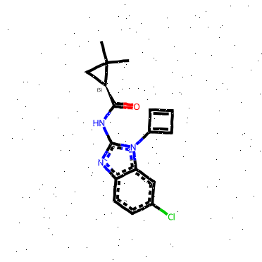 CC1(C)C[C@@H]1C(=O)Nc1nc2ccc(Cl)cc2n1C1=CC=C1